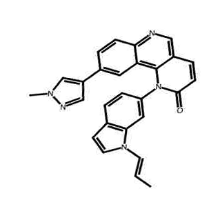 CC=Cn1ccc2ccc(-n3c(=O)ccc4cnc5ccc(-c6cnn(C)c6)cc5c43)cc21